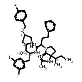 CC[C@@H](C)C1(NC(C)=O)CCN(C(CCc2ccccc2)C(=O)N[C@@H](Cc2cc(F)cc(F)c2)[C@H](O)[C@H]2C[C@@H](OCc3ccc(F)cc3)CN2)C1=O